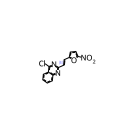 O=[N+]([O-])c1ccc(/C=C/c2nc(Cl)c3ccccc3n2)o1